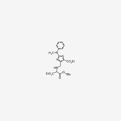 CCOC(=O)c1sc(N(C)c2ccccc2)nc1CNC(C(=O)OCC)C(=O)OC(C)(C)C